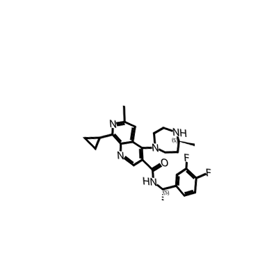 Cc1cc2c(N3CCN[C@@H](C)CC3)c(C(=O)N[C@@H](C)c3ccc(F)c(F)c3)cnc2c(C2CC2)n1